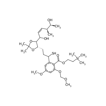 COCOc1cc(OC)cc(C(S)CC[C@@H]2OC(C)(C)OC2C(O)/C=C\[C@H](C)[C@H](C)O)c1C(=O)OCC[Si](C)(C)C